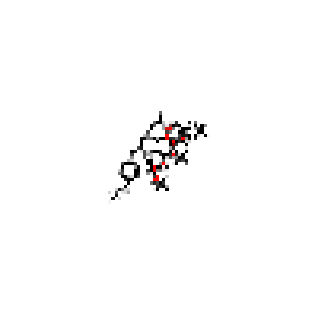 CC(CN(CC(=O)OC(C)(C)C)CC(Cc1ccc(N=C=S)cc1)N(CC(=O)OC(C)(C)C)CC(=O)OC(C)(C)C)N(CC(=O)OC(C)(C)C)CC(=O)OC(C)(C)C